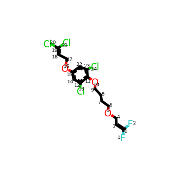 FC(F)=CCOCCCCOc1c(Cl)cc(OCC=C(Cl)Cl)cc1Cl